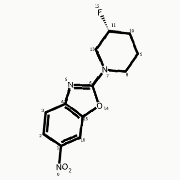 O=[N+]([O-])c1ccc2nc(N3CCC[C@@H](F)C3)oc2c1